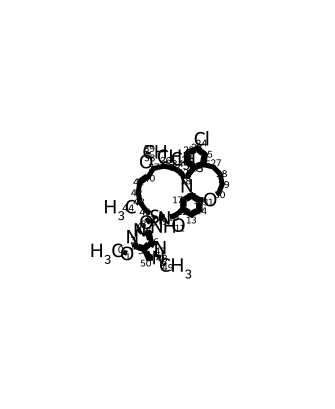 COc1nnc(NS2(=O)=NC(=O)c3ccc4c(c3)N(Cc3ccc(Cl)cc3CCCCO4)C[C@H](C)[C@@H](C)[C@@H](OC)/C=C/C[C@H](C)C2)c2nn(C)cc12